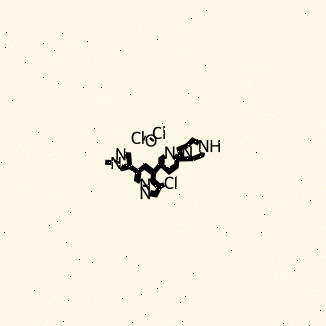 ClOCl.Cn1cc(-c2cc(-c3ccc(N4C5CCC4CNC5)nc3)c3c(Cl)cnn3c2)cn1